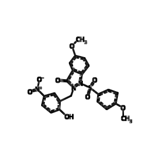 COc1ccc(S(=O)(=O)n2c3ccc(OC)cc3c(=O)n2Cc2cc([N+](=O)[O-])ccc2O)cc1